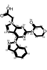 O=C(O)Cn1cnc2c(-n3ncc4ccccc43)nc(N3CCOCC3=O)nc21